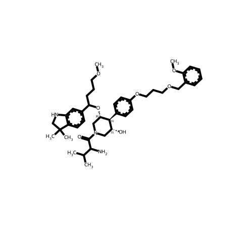 COCCCC(O[C@H]1CN(C(=O)C(N)C(C)C)C[C@@H](O)[C@@H]1c1ccc(OCCCOCc2ccccc2OC)cc1)c1ccc2c(c1)NCC2(C)C